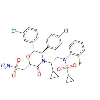 NS(=O)(=O)C[C@@H]1O[C@H](c2cccc(Cl)c2)[C@@H](c2ccc(Cl)cc2)N([C@H](CN(c2ccccc2F)S(=O)(=O)C2CC2)C2CC2)C1=O